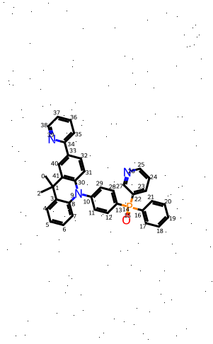 CC1(C)c2ccccc2N(c2ccc(P(=O)(c3ccccc3)c3cccnc3)cc2)c2ccc(-c3ccccn3)cc21